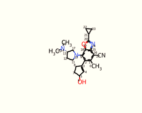 Cc1c(C2=CC(O)CC2)c(N2CC[C@H](N(C)C)C2)c2oc(C3CC3)nc2c1C#N